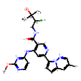 CCOc1nccc(Nc2cc(-c3ccc4cc(C#N)cnn34)ncc2C(=O)NCC(F)C(C)(C)O)n1